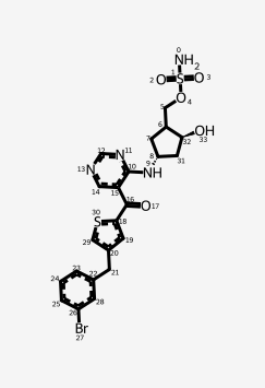 NS(=O)(=O)OCC1C[C@@H](Nc2ncncc2C(=O)c2cc(Cc3cccc(Br)c3)cs2)C[C@@H]1O